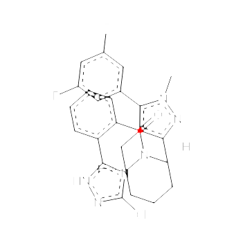 Cn1nc2c(c1-c1cc(F)cc(F)c1)C[C@@H]1CCC[C@H]2N1C(=O)c1ccccc1-c1nc(Cl)n[nH]1